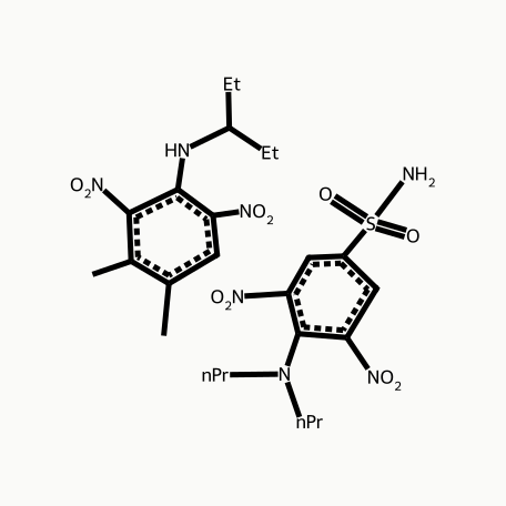 CCC(CC)Nc1c([N+](=O)[O-])cc(C)c(C)c1[N+](=O)[O-].CCCN(CCC)c1c([N+](=O)[O-])cc(S(N)(=O)=O)cc1[N+](=O)[O-]